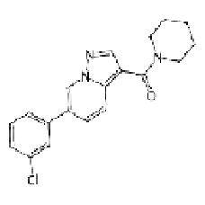 O=C(c1cnn2cc(-c3cccc(Cl)c3)ccc12)N1CCCCC1